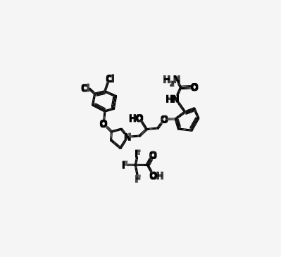 NC(=O)Nc1ccccc1OCC(O)CN1CCC(Oc2ccc(Cl)c(Cl)c2)C1.O=C(O)C(F)(F)F